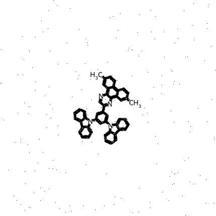 Cc1ccc2c3ccc(C)cc3c3nc(-c4cc(-n5c6ccccc6c6ccccc65)cc(-n5c6ccccc6c6ccccc65)c4)cnc3c2c1